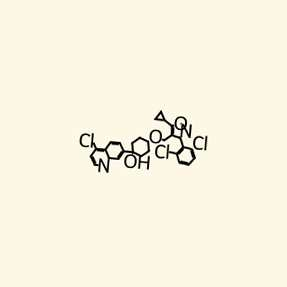 O[C@]1(c2ccc3c(Cl)ccnc3c2)CC[C@H](OCc2c(-c3c(Cl)cccc3Cl)noc2C2CC2)CC1